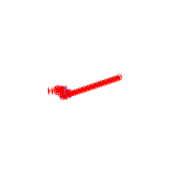 CCC(C)(C)C(=O)OCc1ccc(NC(=O)[C@H](C)NC(=O)C(NC(=O)CCN(CCOCCOCCOCCOCCOCCOCCOCCOCCOCCOCCOCCOCCOCCOCCOCCOCCOCCOCCOCCOCCOCCOCCOCCOC)C(=O)CN2C(=O)C=CC2=O)C(C)C)cc1CC[C@@H]1O[C@H](C(=O)O)[C@@H](O)[C@H](O)[C@H]1O